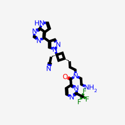 N#CC[C@]1(n2cc(-c3ncnc4[nH]ccc34)cn2)C[C@H](CCCN(CCN)C(=O)c2ccnc(C(F)(F)F)n2)C1